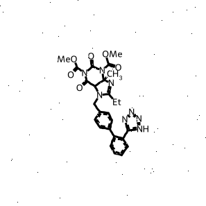 CCC1=NC2(C)C(C(=O)N(C(=O)OC)C(=O)N2C(=O)OC)N1Cc1ccc(-c2ccccc2-c2nnn[nH]2)cc1